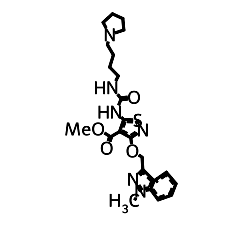 COC(=O)c1c(OCc2nn(C)c3ccccc23)nsc1NC(=O)NCCCCN1CCCC1